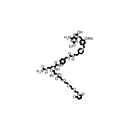 CCOc1nc(N)c2nc(O)n(Cc3ccc(CN4CCC(CCNC(=O)OCc5ccc(NC(=O)[C@H](CCCNC(N)=O)NC(=O)[C@@H](NC(=O)CCOCCOCCOCCN6C(=O)C=CC6=O)C(C)C)cc5)CC4)cc3OC)c2n1